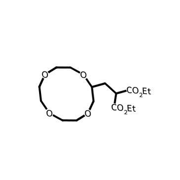 CCOC(=O)C(CC1COCCOCCOCCO1)C(=O)OCC